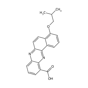 CC(C)COc1cccc2c1ccc1nc3cccc(C(=O)O)c3nc12